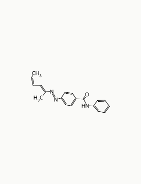 C\C=C/C=C(C)/N=N/c1ccc(C(=O)Nc2ccccc2)cc1